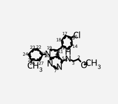 COCCNc1ncnc2c1c(-c1ccc(Cl)cc1)cn2-c1cccc(C)c1